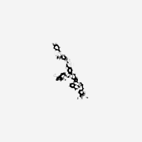 COc1ccc(CN2CCN(C3CC4(CCN(c5ccc(C(=O)NS(=O)(=O)c6cnc(NCC7CCC(C)(O)CC7)c([N+](=O)[O-])c6)c(Oc6cc7c(F)c[nH]c7nc6OC)c5)CC4)C3)[C@H](c3ccccc3C(C)C)C2)nc1OC